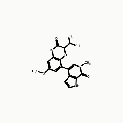 COc1cc2c(c(-c3cn(C)c(=O)c4[nH]ccc34)c1)OC(C(C)C)C(=O)N2